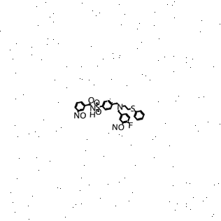 O=Nc1cccc(C(=O)NS(=O)(=O)c2ccc(CN(CCSc3ccccc3)Cc3ccc(F)c(N=O)c3)cc2)c1